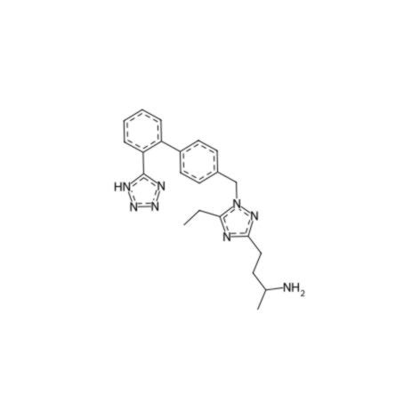 CCc1nc(CCC(C)N)nn1Cc1ccc(-c2ccccc2-c2nnn[nH]2)cc1